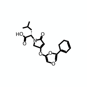 CC(C)C[C@@H](C(=O)O)N1CC(OC2=COC=C(C3=CC=CCC3)O2)=CC1=O